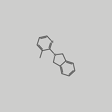 Cc1cccnc1N1Cc2ccccc2C1